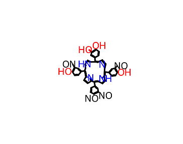 O=Nc1cc(-c2c3nc(c(-c4ccc(N=O)c(N=O)c4)c4ccc([nH]4)c(-c4ccc(O)c(N=O)c4)c4nc(c(-c5ccc(O)c(O)c5)c5ccc2[nH]5)C=C4)C=C3)ccc1O